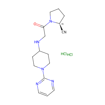 Cl.Cl.N#C[C@@H]1CCCN1C(=O)CNC1CCN(c2ncccn2)CC1